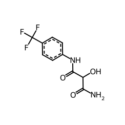 NC(=O)C(O)C(=O)Nc1ccc(C(F)(F)F)cc1